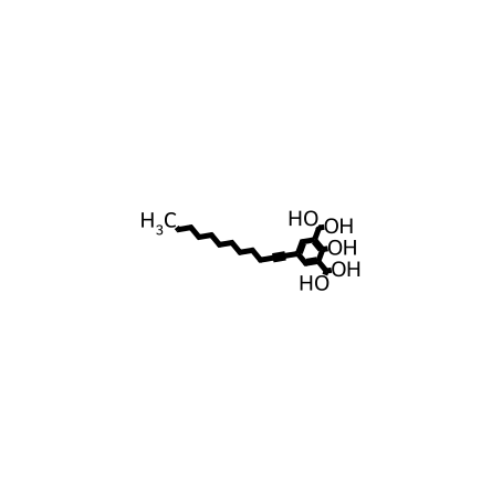 CCCCCCCCCCC#Cc1cc(C(O)O)c(O)c(C(O)O)c1